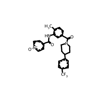 Cc1ccc(C(=O)N2CCC(c3ccc(C(F)(F)F)cc3)CC2)cc1NC(=O)c1cc[n+]([O-])cc1